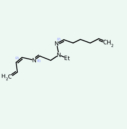 C=C/C=C\N=C\CN(CC)/N=C\CCCC=C